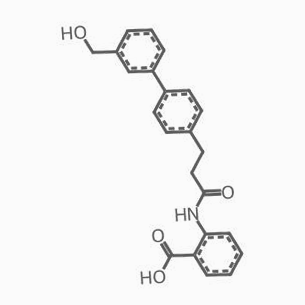 O=C(CCc1ccc(-c2cccc(CO)c2)cc1)Nc1ccccc1C(=O)O